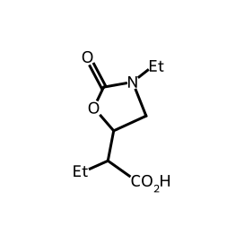 CCC(C(=O)O)C1CN(CC)C(=O)O1